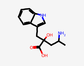 CC(N)CC(O)(Cc1c[nH]c2ccccc12)C(=O)O